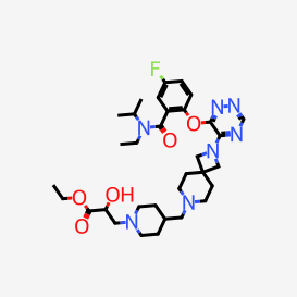 CCOC(=O)C(O)CN1CCC(CN2CCC3(CC2)CN(c2ncnnc2Oc2ccc(F)cc2C(=O)N(CC)C(C)C)C3)CC1